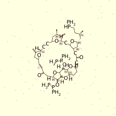 C=C1CC2/C=C/C(=O)C[C@H]3OC4[C@@H](O[C@H]5CC[C@H](CC(=O)CC6C(C[C@H]7OC(CC[C@@H]1O2)C[C@@H](C)C7=C)O[C@H](C[C@H](C)CCPP)[C@@H]6C)O[C@@H]5[C@@H]4OP(P)P)[C@H]3OP(P)P